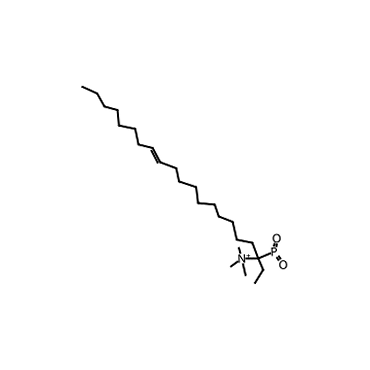 CCCCCCCC=CCCCCCCCCCC(CC)(P(=O)=O)[N+](C)(C)C